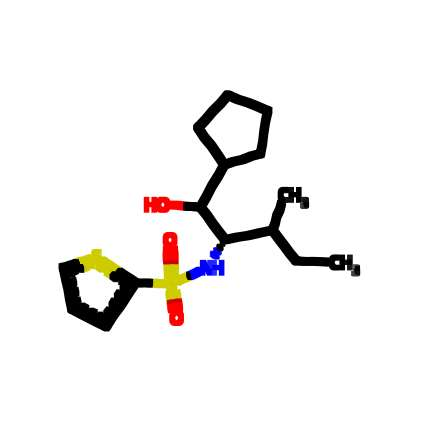 CCC(C)[C@H](NS(=O)(=O)c1cccs1)C(O)C1CCCC1